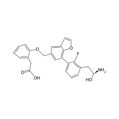 N[C@@H](O)Cc1cccc(-c2cc(COc3ccccc3CC(=O)O)cc3ccoc23)c1F